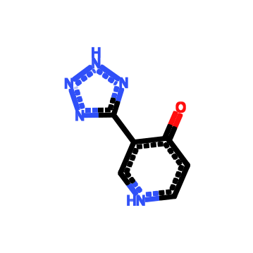 O=c1cc[nH]cc1-c1nn[nH]n1